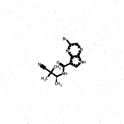 C[C@H](NC(=O)c1c[nH]c2ncc(Br)nc12)C(C)(C)C#N